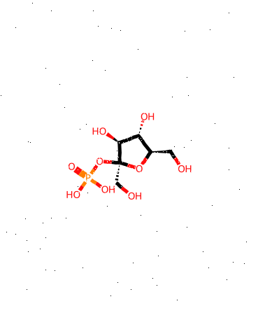 O=P(O)(O)O[C@]1(CO)O[C@H](CO)[C@@H](O)[C@@H]1O